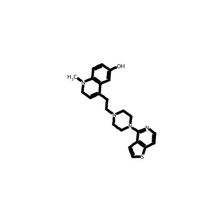 CN1CC=C(CCN2CCN(c3nccc4sccc34)CC2)c2cc(O)ccc21